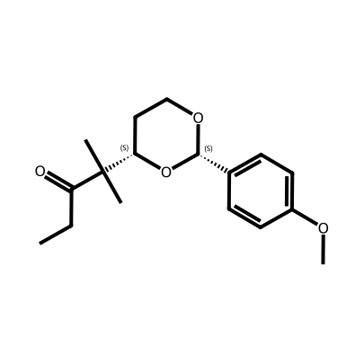 CCC(=O)C(C)(C)[C@@H]1CCO[C@H](c2ccc(OC)cc2)O1